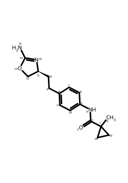 CC1(C(=O)Nc2ccc(CC[C@H]3COC(N)=N3)cc2)CC1